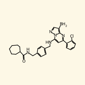 Bc1cnn2c(NCc3ccc(CNC(=O)C4CCCCCC4)cc3)cc(-c3ccccc3Cl)nc12